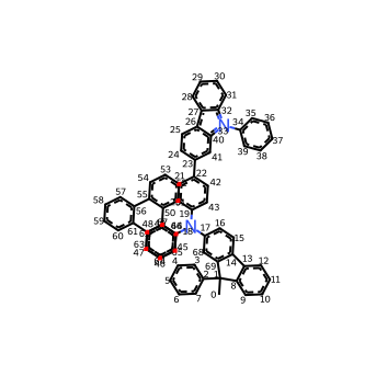 CC1(c2ccccc2)c2ccccc2-c2ccc(N(c3ccc(-c4ccc5c6ccccc6n(-c6ccccc6)c5c4)cc3)c3ccccc3-c3ccccc3-c3ccccc3-c3ccccc3)cc21